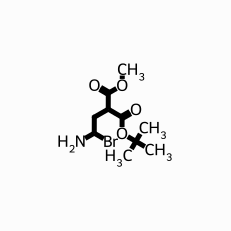 COC(=O)C(CC(N)Br)C(=O)OC(C)(C)C